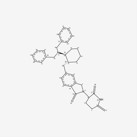 C=C1CCC(N2Cc3cc(C[C@H]4CCCC[C@@H]4N(Cc4ccccc4)Cc4ccccc4)ccc3C2=O)C(=O)N1